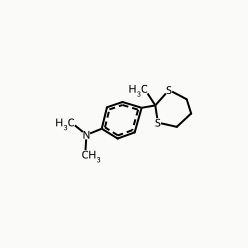 CN(C)c1ccc(C2(C)SCCCS2)cc1